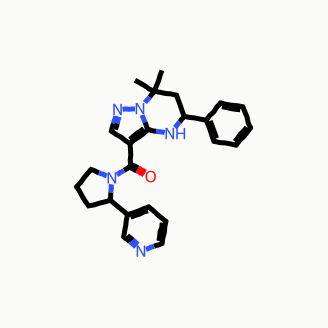 CC1(C)CC(c2ccccc2)Nc2c(C(=O)N3CCCC3c3cccnc3)cnn21